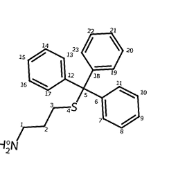 NCCCSC(c1ccccc1)(c1ccccc1)c1ccccc1